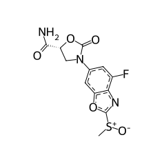 C[S+]([O-])c1nc2c(F)cc(N3C[C@H](C(N)=O)OC3=O)cc2o1